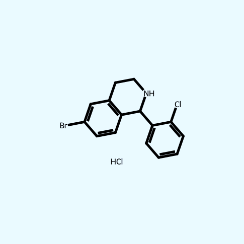 Cl.Clc1ccccc1C1NCCc2cc(Br)ccc21